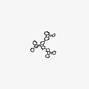 C1=CCCC(N2C3CCC(C4C=CC5C(C4)C4CC(C6C=CC7C(C6)C6CCC=CC6N7C6=CC=CCC6)C=CC4N5C4=CN(C5C=CCCC5)C5CCC=CC45)C=C3C3CCC=CC32)=C1